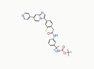 CC(C)(C)OC(=O)NC(C)(C)c1cccc(NC(=O)Cc2ccc(-c3cnc4cc(-c5ccncc5)ccn34)cc2F)c1